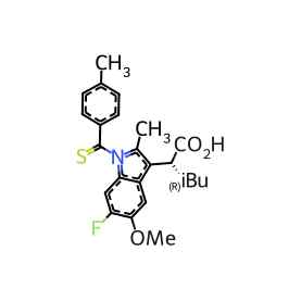 CC[C@@H](C)C(C(=O)O)c1c(C)n(C(=S)c2ccc(C)cc2)c2cc(F)c(OC)cc12